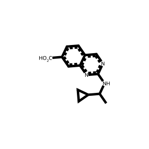 CC(Nc1ncc2ccc(C(=O)O)cc2n1)C1CC1